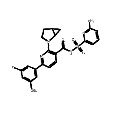 CC(C)COc1cc(F)cc(-c2ccc(C(=O)NS(=O)(=O)c3cccc(N)n3)c(N3CCC4CC43)n2)c1